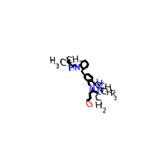 C=C=C1c2ccc(CC3CCCCC3NCCC(C)C)cc2CN1C(CCC=O)C(=C)NC